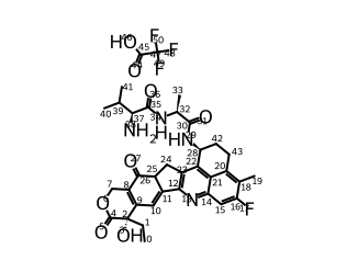 CC[C@@]1(O)C(=O)OCC2=C1C=C1c3nc4cc(F)c(C)c5c4c(c3CC1C2=O)[C@@H](NC(=O)[C@H](C)NC(=O)[C@@H](N)C(C)C)CC5.O=C(O)C(F)(F)F